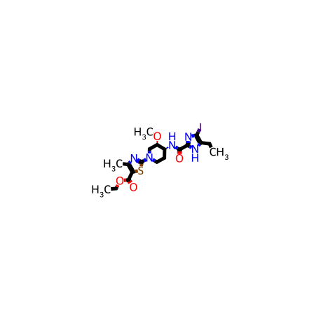 CCOC(=O)c1sc(N2CC[C@@H](NC(=O)c3nc(I)c(CC)[nH]3)[C@@H](OC)C2)nc1C